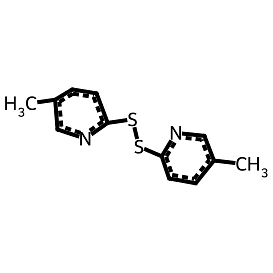 Cc1ccc(SSc2ccc(C)cn2)nc1